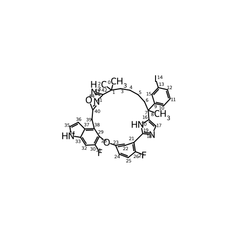 CC1(C)CCCCC(C)(c2cccc(I)c2)c2cnc([nH]2)-c2cc(ccc2F)Oc2c(F)cc3[nH]ccc3c2Cc2nc1no2